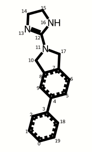 c1ccc(-c2ccc3c(c2)CN(C2=NCCN2)C3)cc1